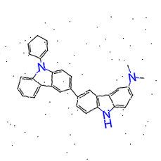 CN(C)c1ccc2[nH]c3ccc(-c4ccc5c(c4)c4ccccc4n5C4=CCCC=C4)cc3c2c1